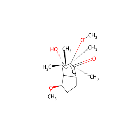 CO[C@@H]1CCC23CC[C@@H](C)[C@](C)(C12)[C@H](O)C[C@@](C)(OC)C(=O)[C@@H]3C